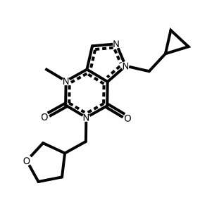 Cn1c(=O)n(CC2CCOC2)c(=O)c2c1cnn2CC1CC1